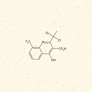 CC(Cl)(Cl)c1nc2c(C(F)(F)F)cccc2c(O)c1C(=O)O